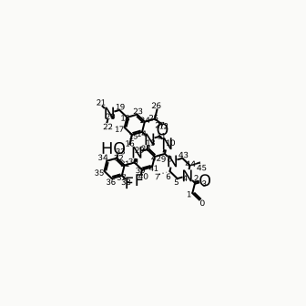 C=CC(=O)N1C[C@H](C)N(c2nc(=O)n(-c3c(C)cc(CN(C)C)cc3C(C)C)c3nc(-c4c(O)cccc4F)c(F)cc23)C[C@H]1C